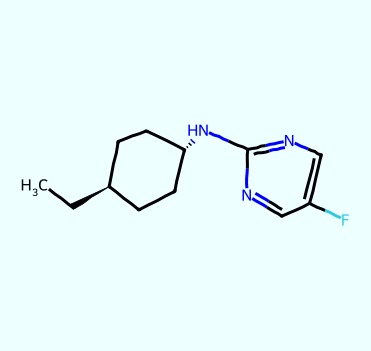 CC[C@H]1CC[C@H](Nc2ncc(F)cn2)CC1